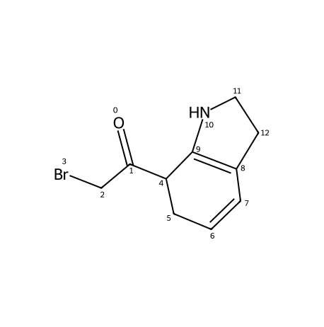 O=C(CBr)C1CC=CC2=C1NCC2